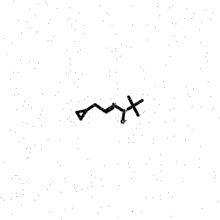 CC(C)(C)[S+]([O-])N=CCC1CC1